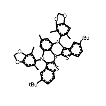 Cc1cc2c3c(c1)N(c1c(C)cc4c(c1C)OCO4)c1c(sc4ccc(C(C)(C)C)cc14)B3c1sc3ccc(C(C)(C)C)cc3c1N2c1c(C)cc2c(c1C)OCO2